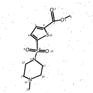 COC(=O)c1ccc(S(=O)(=O)N2CCN(C)CC2)s1